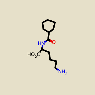 NCCCCC(NC(=O)C1CCCCC1)C(=O)O